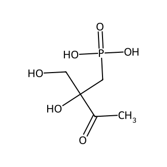 CC(=O)C(O)(CO)CP(=O)(O)O